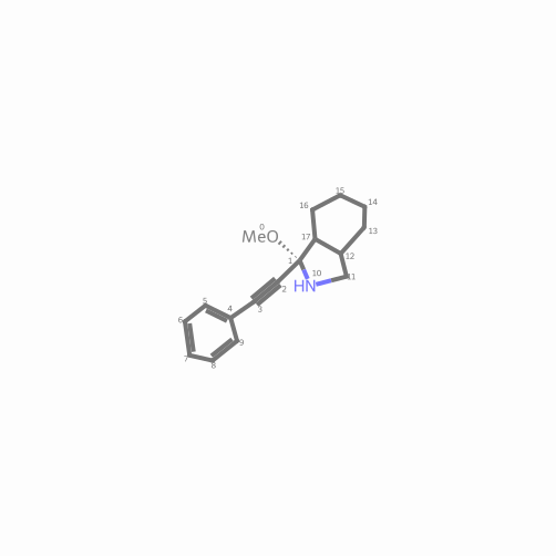 CO[C@@]1(C#Cc2ccccc2)NCC2CCCCC21